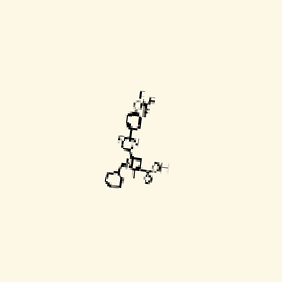 Cc1c(C(=O)O)cc(-c2csc(-c3ccc(OC(F)(F)F)cc3)n2)n1CC1CCCCC1